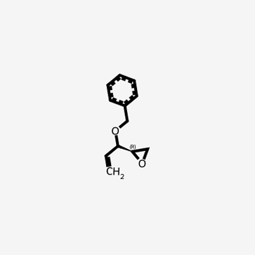 C=CC(OCc1ccccc1)[C@H]1CO1